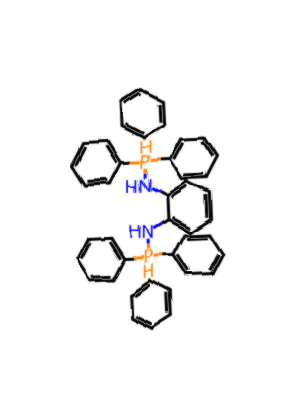 c1ccc([PH](Nc2ccccc2N[PH](c2ccccc2)(c2ccccc2)c2ccccc2)(c2ccccc2)c2ccccc2)cc1